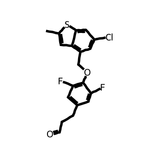 Cc1cc2c(COc3c(F)cc(CCC=O)cc3F)cc(Cl)cc2s1